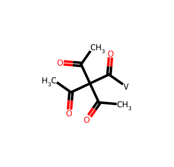 CC(=O)C(C(C)=O)(C(C)=O)[C](=O)[V]